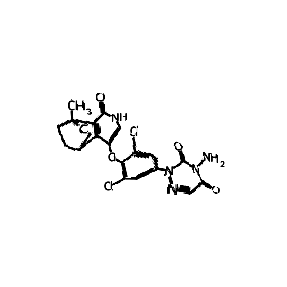 CC12CCC(CC1)c1c(Oc3c(Cl)cc(-n4ncc(=O)n(N)c4=O)cc3Cl)c[nH]c(=O)c12